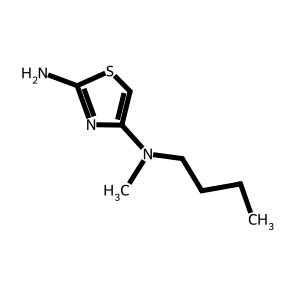 CCCCN(C)c1csc(N)n1